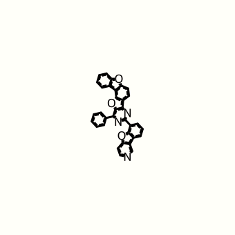 c1ccc(-c2nc(-c3cccc4c3oc3ccncc34)nc3c2oc2c3ccc3oc4ccccc4c32)cc1